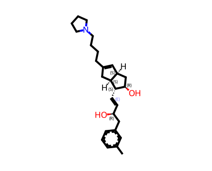 Cc1cccc(C[C@@H](O)/C=C/[C@@H]2[C@H]3CC(CCCCN4CCCC4)=C[C@H]3C[C@H]2O)c1